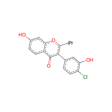 CC(C)c1oc2cc(O)ccc2c(=O)c1-c1ccc(Cl)c(O)c1